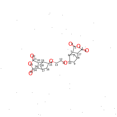 O=C1OC(=O)C2C3CC(CC3OCCOC3CC4CC3C3C(=O)OC(=O)C43)C12